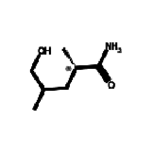 CC(CO)C[C@H](C)C(N)=O